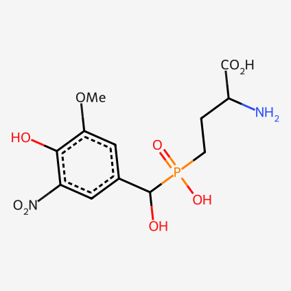 COc1cc(C(O)P(=O)(O)CCC(N)C(=O)O)cc([N+](=O)[O-])c1O